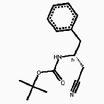 CC(C)(C)OC(=O)N[C@@H](CC#N)Cc1ccccc1